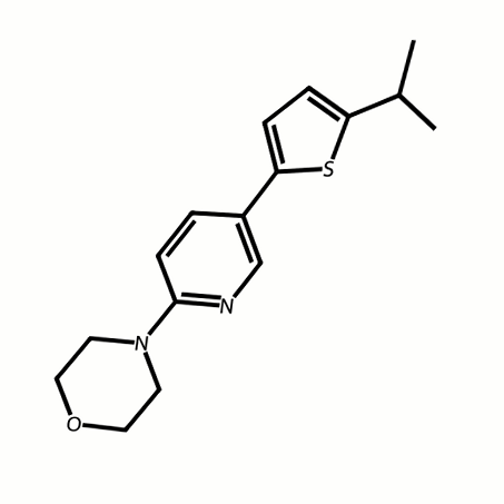 CC(C)c1ccc(-c2ccc(N3CCOCC3)nc2)s1